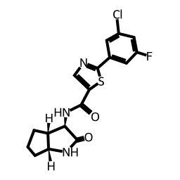 O=C(N[C@H]1C(=O)N[C@@H]2CCC[C@@H]21)c1cnc(-c2cc(F)cc(Cl)c2)s1